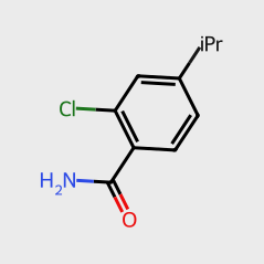 CC(C)c1ccc(C(N)=O)c(Cl)c1